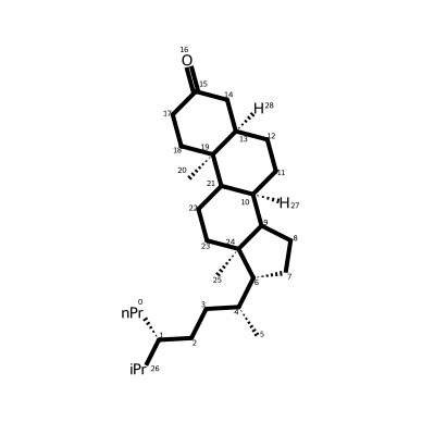 CCC[C@H](CC[C@@H](C)[C@H]1CCC2[C@@H]3CC[C@@H]4CC(=O)CC[C@]4(C)C3CC[C@@]21C)C(C)C